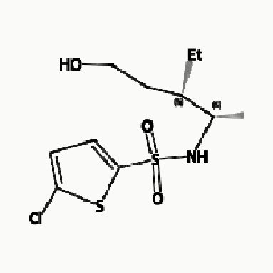 CC[C@@H](CCO)[C@H](C)NS(=O)(=O)c1ccc(Cl)s1